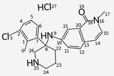 Cc1c(Cl)cccc1C1(Nc2ccc3ccn(C)c(=O)c3c2)CCCNC1.Cl